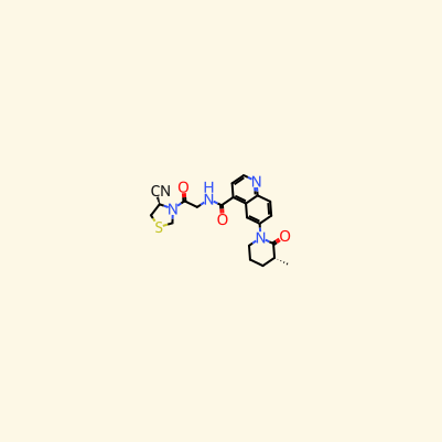 C[C@@H]1CCCN(c2ccc3nccc(C(=O)NCC(=O)N4CSC[C@H]4C#N)c3c2)C1=O